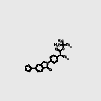 CC(C(=O)OC(C)(C)C)c1ccc(N2Cc3cc(-c4cccs4)ccc3C2=O)cc1